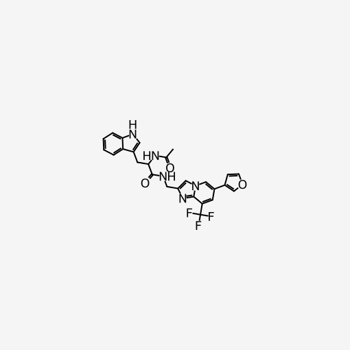 CC(=O)NC(Cc1c[nH]c2ccccc12)C(=O)NCc1cn2cc(-c3ccoc3)cc(C(F)(F)F)c2n1